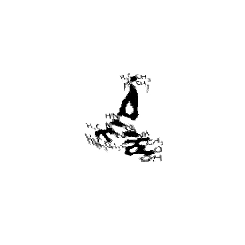 CCC(C)(CC)c1nc(Nc2cccc(NC(C)(C)C)c2)nc(NC(CC)(CC)c2cccc(C(=O)O)c2)n1